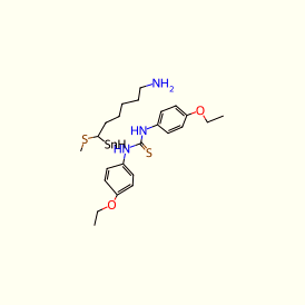 CCOc1ccc(NC(=S)Nc2ccc(OCC)cc2)cc1.CS[CH]([SnH])CCCCCN